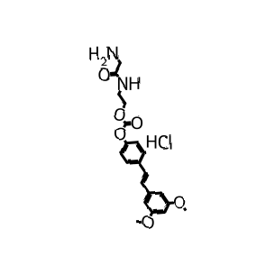 COc1cc(C=Cc2ccc(OC(=O)OCCNC(=O)CN)cc2)cc(OC)c1.Cl